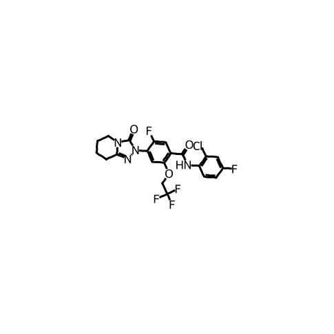 O=C(Nc1ccc(F)cc1Cl)c1cc(F)c(-n2nc3n(c2=O)CCCC3)cc1OCC(F)(F)F